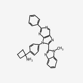 Cn1c(-c2nc3cnc(-c4ccccc4)nc3n2-c2ccc(C3(N)CCC3)cc2)nc2ccccc21